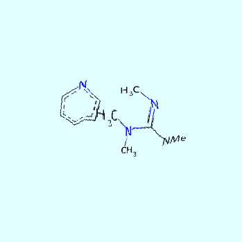 CN=C(NC)N(C)C.c1ccncc1